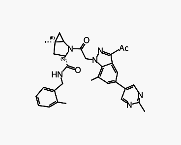 CC(=O)c1nn(CC(=O)N2C3C[C@]3(C)C[C@H]2C(=O)NCc2ccccc2C)c2c(C)cc(-c3cnc(C)nc3)cc12